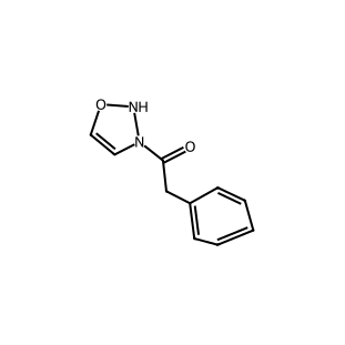 O=C(Cc1ccccc1)N1C=CON1